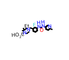 CCC1N(Cc2cccc(NC(=O)Nc3ccc(C)nc3)c2F)CCN(C(=O)O)C1(C)C